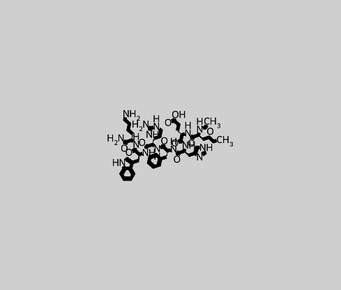 CCCC[C@H](NC(C)=O)C(=O)N[C@@H](CCC(=O)O)C(=O)N[C@@H](Cc1c[nH]cn1)C(=O)N[C@H](Cc1ccccc1)C(=O)N[C@@H](CCCNC(=N)N)C(=O)N[C@@H](Cc1c[nH]c2ccccc12)C(=O)N[C@@H](CCCCN)C(N)=O